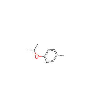 Cc1c[c]c(OC(C)C)cc1